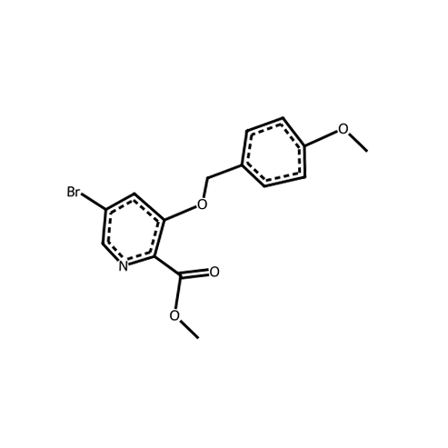 COC(=O)c1ncc(Br)cc1OCc1ccc(OC)cc1